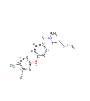 CCCCN(C)Cc1ccc(Oc2ccc(Cl)c(Cl)c2)cc1